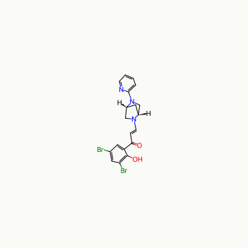 O=C(/C=C/N1C[C@H]2C[C@@H]1CN2c1ccccn1)c1cc(Br)cc(Br)c1O